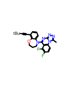 Cc1nnc2nc(N3CCCOc4c(C#CC(C)(C)C)cccc43)c3c(F)c(F)ccc3n12